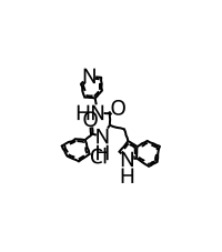 O=C(NC(Cc1c[nH]c2ccccc12)C(=O)Nc1ccncc1)c1ccccc1Cl